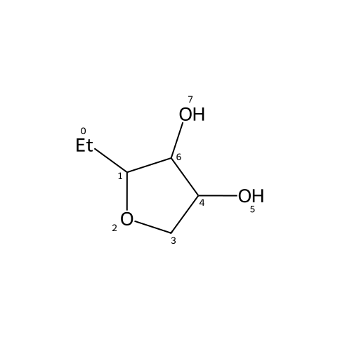 CCC1OCC(O)C1O